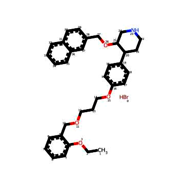 Br.CCOc1ccccc1COCCCOc1ccc(C2CCNCC2OCc2ccc3ccccc3c2)cc1